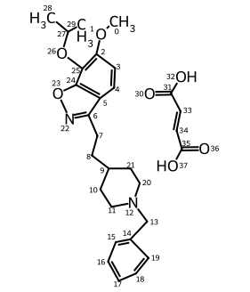 COc1ccc2c(CCC3CCN(Cc4ccccc4)CC3)noc2c1OC(C)C.O=C(O)/C=C/C(=O)O